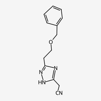 N#CCc1nc(CCOCc2ccccc2)n[nH]1